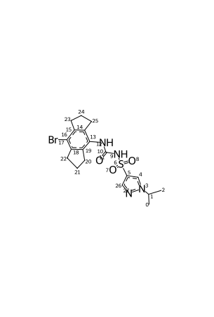 CC(C)n1cc(S(=O)(=O)NC(=O)Nc2c3c(c(Br)c4c2CCC4)CCC3)cn1